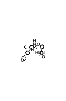 O=c1nc(-c2cccc(Oc3nc4nc(-c5ccc(N6CCOCC6)cc5)c(Cl)cc4[nH]3)c2)[nH]o1